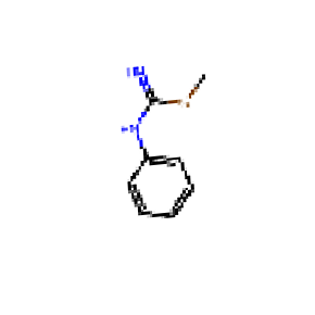 CSC(=N)Nc1ccccc1